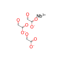 O=CC(=O)[O-].O=CC(=O)[O-].O=CC(=O)[O-].[Nb+3]